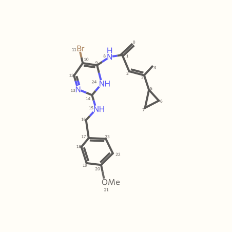 C=C(/C=C(\C)C1CC1)NC1=C(Br)C=NC(NCc2ccc(OC)cc2)N1